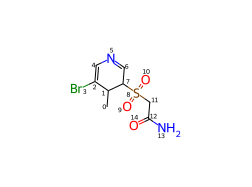 CC1C(Br)=CN=CC1S(=O)(=O)CC(N)=O